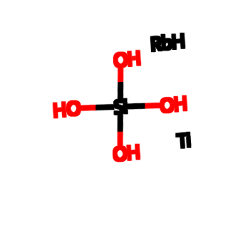 O[Si](O)(O)O.[RbH].[Ti]